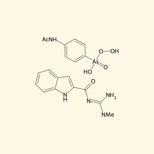 CC(=O)Nc1ccc([As](=O)(O)OO)cc1.CNC(N)=NC(=O)c1cc2ccccc2[nH]1